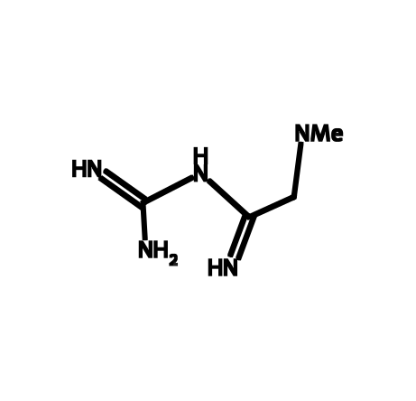 CNCC(=N)NC(=N)N